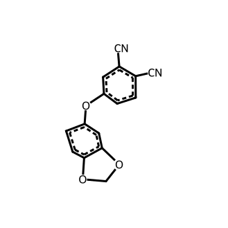 N#Cc1ccc(Oc2ccc3c(c2)OCO3)cc1C#N